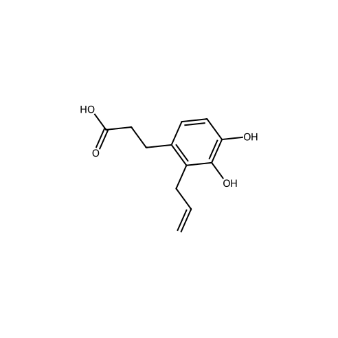 C=CCc1c(CCC(=O)O)ccc(O)c1O